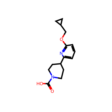 O=C(O)N1CCC(c2cccc(OCC3CC3)n2)CC1